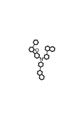 c1ccc(-c2cccc3c2oc2cc(N(c4ccc(-c5ccc6ccccc6c5)cc4)c4cccc(-c5cccc6ccccc56)c4)ccc23)cc1